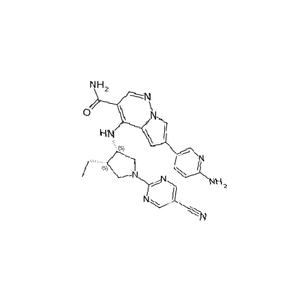 CC[C@H]1CN(c2ncc(C#N)cn2)C[C@H]1Nc1c(C(N)=O)cnn2cc(-c3ccc(N)nc3)cc12